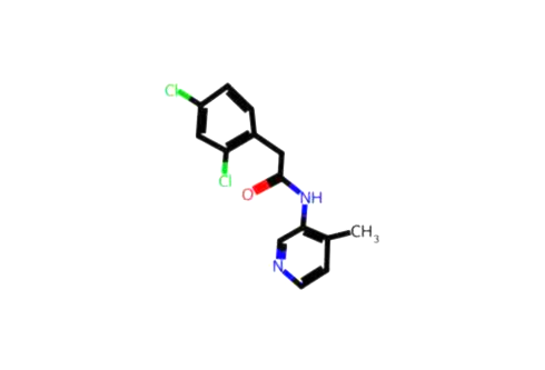 Cc1ccncc1NC(=O)Cc1ccc(Cl)cc1Cl